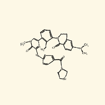 CN(C)c1ccc2c(c1)CCN(c1cccc(-c3cn(C)c(=O)c(Nc4ccc(C(=O)N5CCNCC5)cc4)n3)c1CO)C2=O